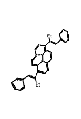 CCC(=Cc1ccccc1)c1ccc2ccc3c(C(=Cc4ccccc4)CC)ccc4ccc1c2c43